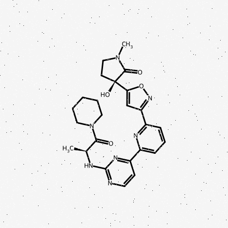 C[C@H](Nc1nccc(-c2cccc(-c3cc([C@]4(O)CCN(C)C4=O)on3)n2)n1)C(=O)N1CCCCC1